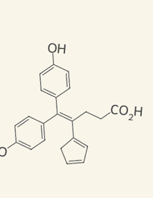 O=C(O)CCC(C1=CC=CC1)=C(c1ccc(O)cc1)c1ccc(O)cc1